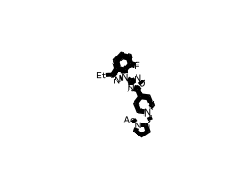 CCc1nn(-c2noc(C3CCN(C[C@@H]4CCCN4C(C)=O)CC3)n2)c2c(F)cccc12